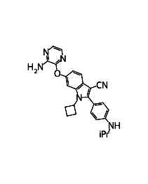 CC(C)Nc1ccc(-c2c(C#N)c3ccc(Oc4nccnc4N)cc3n2C2CCC2)cc1